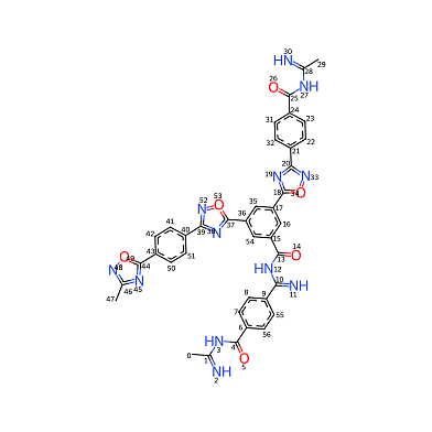 CC(=N)NC(=O)c1ccc(C(=N)NC(=O)c2cc(-c3nc(-c4ccc(C(=O)NC(C)=N)cc4)no3)cc(-c3nc(-c4ccc(-c5nc(C)no5)cc4)no3)c2)cc1